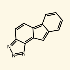 C1=c2ccccc2=c2ccc3c(c21)N=NN=3